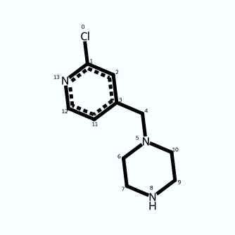 Clc1cc(CN2CCNCC2)ccn1